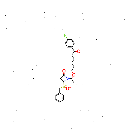 CC(OCCCCCC(=O)c1ccc(F)cc1)N1C(=O)CC1[S+]([O-])Cc1ccccc1